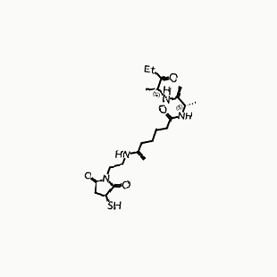 C=C(CCCCC(=O)N[C@@H](C)C(=C)N[C@@H](C)C(=O)CC)NCCN1C(=O)CC(S)C1=O